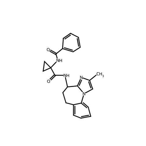 Cc1cn2c(n1)C(NC(=O)C1(NC(=O)c3ccccc3)CC1)CCc1ccccc1-2